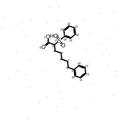 O=C(O)C(CCCCCc1ccccc1)S(=O)(=O)c1ccccc1